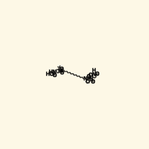 CC(C)(C)C1CC(NC(=O)O)CCN1S(=O)(=O)CCCCCCCCCCCCCCNc1cccc2c1C(=O)N(C1CCC(=O)NC1=O)C2=O